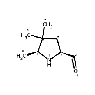 C[C@@H]1N[C@H](C=O)CC1(C)C